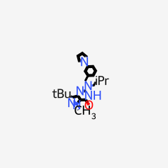 CC(C)CN(Cc1cccc(-n2cccc2)c1)c1nc2c(C(C)(C)C)nn(C)c2c(=O)[nH]1